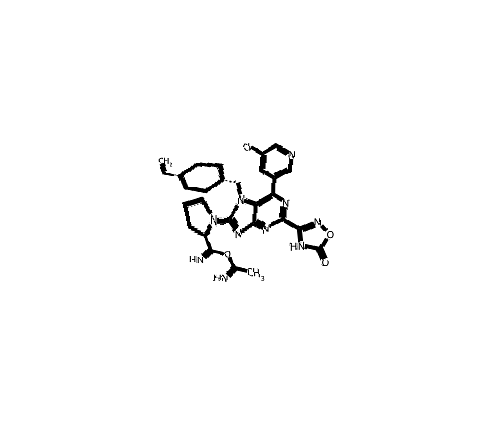 C=C[C@H]1CC[C@H](Cn2c(N3CCCC3C(=N)OC(C)=N)nc3nc(-c4noc(=O)[nH]4)nc(-c4cncc(Cl)c4)c32)CC1